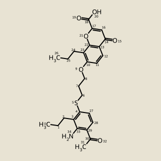 CCCc1c(SCCCOc2ccc3c(=O)cc(C(=O)O)oc3c2CCC)ccc(C(C)=O)c1N